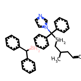 BC(c1ccccc1)c1ccccc1.C=CCC(C)C[SiH2]C(c1ccccc1)(c1ccccc1)n1ccnc1